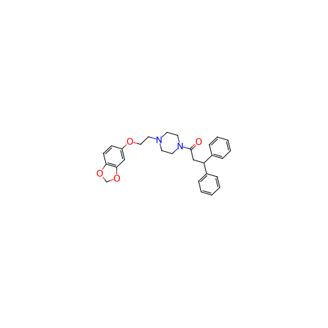 O=C(CC(c1ccccc1)c1ccccc1)N1CCN(CCOc2ccc3c(c2)OCO3)CC1